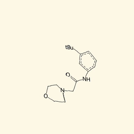 CC(C)(C)c1cccc(NC(=O)CN2CCOCC2)c1